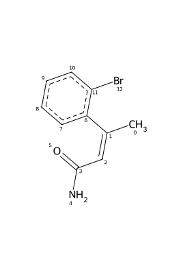 C/C(=C/C(N)=O)c1ccccc1Br